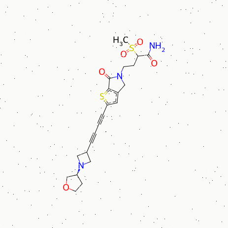 CS(=O)(=O)C(CCN1Cc2cc(C#CC#CC3CN([C@H]4CCOC4)C3)sc2C1=O)C(N)=O